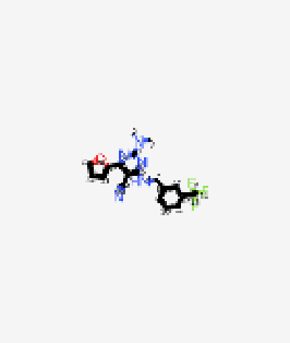 CN(C)c1nc(NCc2cccc(C(F)(F)F)c2)c(C#N)c(-c2ccco2)n1